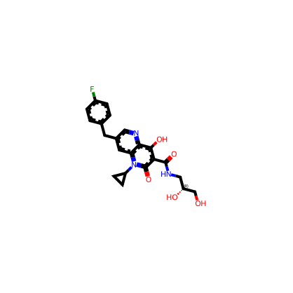 O=C(NC[C@@H](O)CO)c1c(O)c2ncc(Cc3ccc(F)cc3)cc2n(C2CC2)c1=O